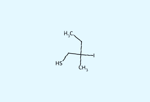 CCC(C)(I)CS